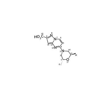 C[C@@H]1CN(c2ccn3nc(C(=O)O)cc3n2)C[C@@H](C)O1